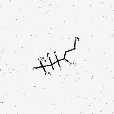 CC(C)CCC(N)C(F)(F)C(F)(F)C(F)(C(F)(F)F)C(F)(F)F